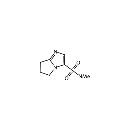 CNS(=O)(=O)c1cnc2n1CCC2